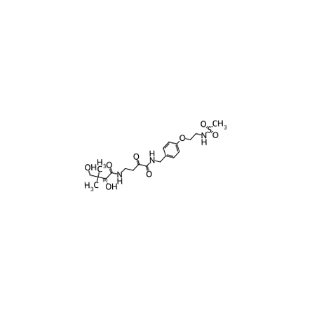 CC(C)(CO)[C@@H](O)C(=O)NCCC(=O)C(=O)NCc1ccc(OCCNS(C)(=O)=O)cc1